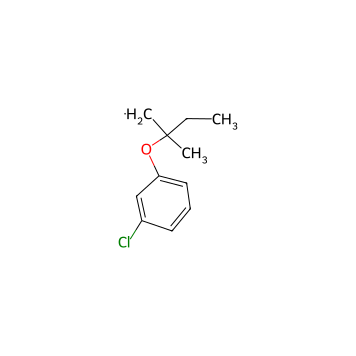 [CH2]C(C)(CC)Oc1cccc(Cl)c1